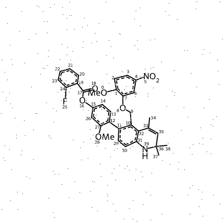 COc1ccc([N+](=O)[O-])cc1OCc1c(-c2ccc(OC(=O)c3ccccc3F)cc2OC)ccc2c1C(C)=CC(C)(C)N2